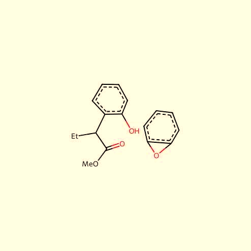 CCC(C(=O)OC)c1ccccc1O.c1ccc2c(c1)O2